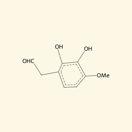 COc1ccc(CC=O)c(O)c1O